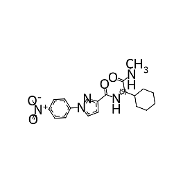 CNC(=O)[C@@H](NC(=O)c1ccn(-c2ccc([N+](=O)[O-])cc2)n1)C1CCCCC1